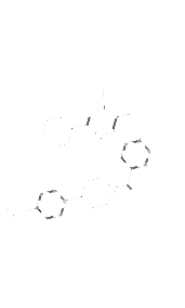 C=C(NC(=C(C)C)c1cc(C(=O)N2CCC(c3ccc(C#N)cc3)CC2)c(C)cc1C)C1CCOCC1